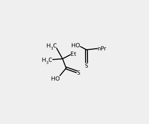 CCC(C)(C)C(O)=S.CCCC(O)=S